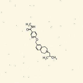 CNC(=O)c1ccc(OCc2ccc3c(c2)CCN(CC(C)C)CC3)nc1